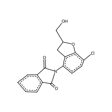 O=C1c2ccccc2C(=O)N1c1ccc(Cl)c2c1CC(CO)O2